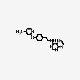 Cc1ccnc(Oc2ccc(CCNc3ncnc4nccnc34)cc2)c1